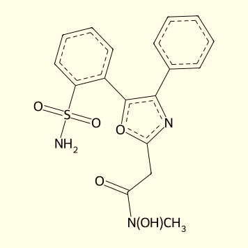 CN(O)C(=O)Cc1nc(-c2ccccc2)c(-c2ccccc2S(N)(=O)=O)o1